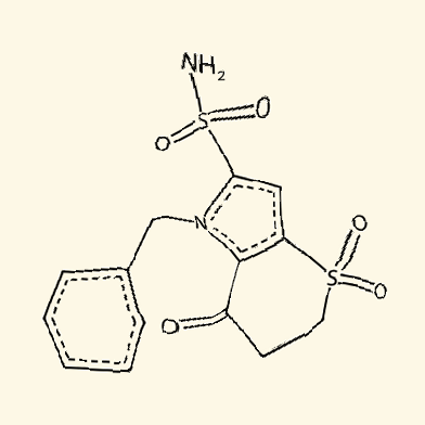 NS(=O)(=O)c1cc2c(n1Cc1ccccc1)C(=O)CCS2(=O)=O